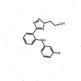 OCCn1nnc(-c2ccccc2Nc2cccc(F)c2)n1